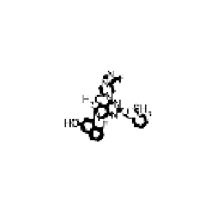 C[C@@H]1Cn2cnc(F)c2CN1c1nc(OC[C@H]2CCCCN2C)nc2c1CCN(c1cc(O)cc3cccc(F)c13)C2